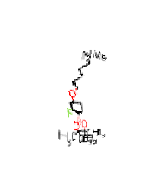 CNCCCCCOc1ccc(B2OC(C)(C)C(C)(C)O2)c(F)c1